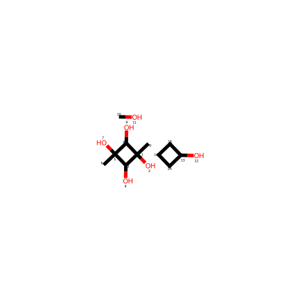 CC1(O)C(O)C(C)(O)C1O.CO.OC1CCC1